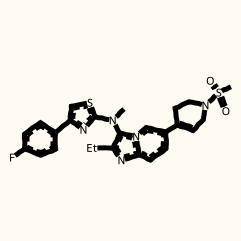 CCc1nc2ccc(C3=CCN(S(C)(=O)=O)CC3)cn2c1N(C)c1nc(-c2ccc(F)cc2)cs1